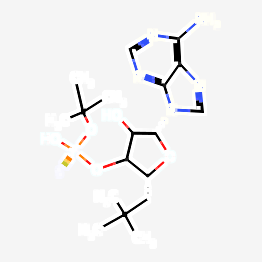 CC(C)(C)C[C@H]1O[C@@H](n2cnc3c(N)ncnc32)C(O)C1OP(O)(=S)OC(C)(C)C